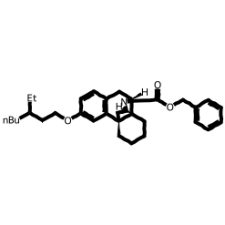 CCCCC([CH]COc1ccc2c(c1)[C@@]13CCCC[C@H]1[C@@H](C2)N(C(=O)OCc1ccccc1)CC3)CC